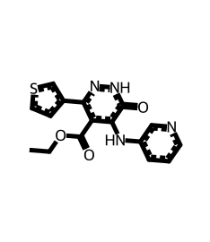 CCOC(=O)c1c(-c2ccsc2)n[nH]c(=O)c1Nc1cccnc1